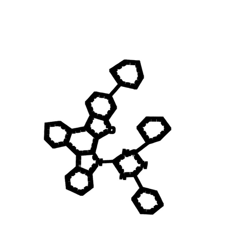 c1ccc(-c2ccc3c(c2)oc2c3c3ccccc3c3c4ccccc4n(-c4nc(-c5ccccc5)nc(-c5ccccc5)n4)c23)cc1